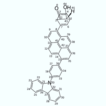 O=C1C2C=CC(C=C2c2ccc3ccc4c(-c5ccc(-n6c7ccccc7c7ccccc76)cc5)ccc5ccc2c3c54)[C@H]1O